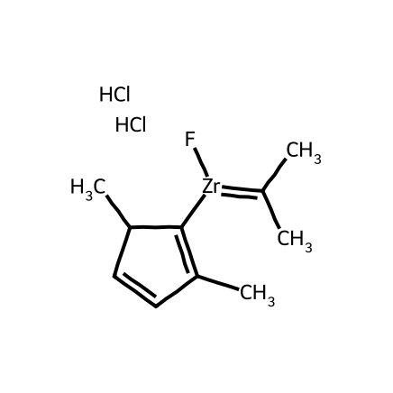 CC1=[C]([Zr]([F])=[C](C)C)C(C)C=C1.Cl.Cl